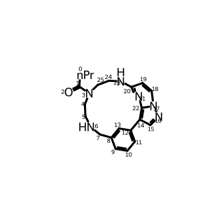 CCCC(=O)N1CCNCc2cccc(c2)-c2cnn3ccc(nc23)NCC1